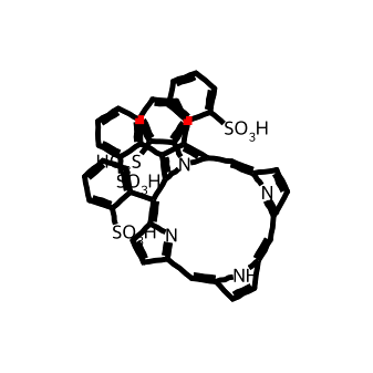 O=S(=O)(O)c1ccccc1-c1c(-c2ccccc2S(=O)(=O)O)c2c(-c3ccccc3S(=O)(=O)O)c3nc(cc4ccc(cc5nc(cc1n2-c1ccccc1S(=O)(=O)O)C=C5)[nH]4)C=C3